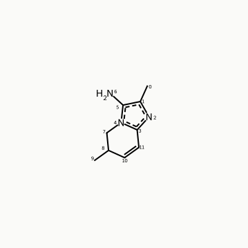 Cc1nc2n(c1N)CC(C)C=C2